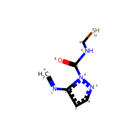 C=Nc1ccnn1C(=O)NCS